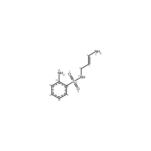 NC=CCNS(=O)(=O)c1ccccc1N